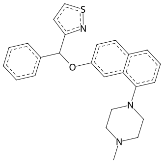 CN1CCN(c2cccc3ccc(OC(c4ccccc4)c4ccsn4)cc23)CC1